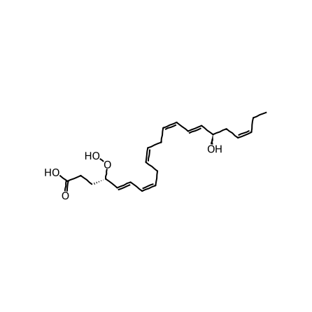 CC/C=C\C[C@@H](O)/C=C/C=C\C/C=C\C/C=C\C=C\[C@H](CCC(=O)O)OO